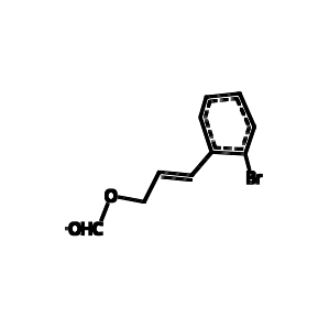 O=[C]OCC=Cc1ccccc1Br